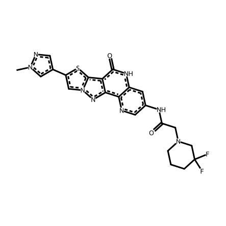 Cn1cc(-c2cn3nc4c5ncc(NC(=O)CN6CCCC(F)(F)C6)cc5[nH]c(=O)c4c3s2)cn1